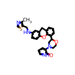 Cc1ncsc1CNc1ccc2c(c1)Cc1cccc(C3CN(c4ccc[nH]c4=O)CCO3)c1O2